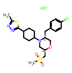 Cc1nnc(C2CCC(N3C[C@H](CS(C)(=O)=O)OC[C@@H]3Cc3ccc(Cl)cc3)CC2)s1.Cl